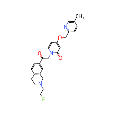 Cc1ccc(COc2ccn(CC(=O)c3ccc4c(c3)CN(CCF)CC4)c(=O)c2)nc1